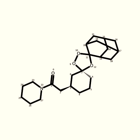 O=C(C[C@@H]1CCC[C@]2(C1)OOC1(O2)C2CC3CC(C2)CC1C3)N1CCCCC1